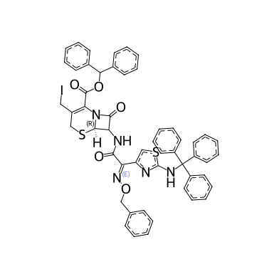 O=C(OC(c1ccccc1)c1ccccc1)C1=C(CI)CS[C@@H]2C(NC(=O)/C(=N/OCc3ccccc3)c3csc(NC(c4ccccc4)(c4ccccc4)c4ccccc4)n3)C(=O)N12